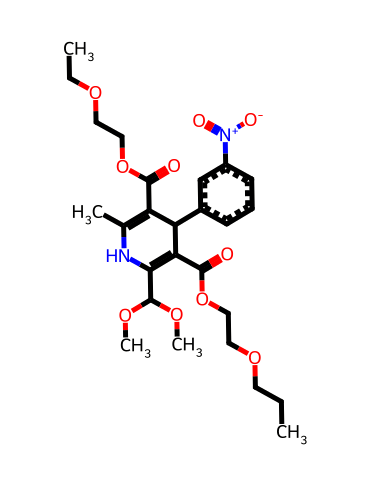 CCCOCCOC(=O)C1=C(C(OC)OC)NC(C)=C(C(=O)OCCOCC)C1c1cccc([N+](=O)[O-])c1